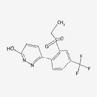 CCS(=O)(=O)c1cc(C(F)(F)F)ccc1-c1ccc(O)nn1